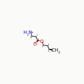 C=CCCOC(=O)CCN